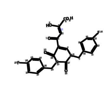 O=C(O)/C(O)=C/C(=O)c1cn(Cc2ccc(F)cc2)c(=O)n(Cc2ccc(F)cc2)c1=O